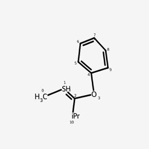 C[SH]=C(Oc1cc[c]cc1)C(C)C